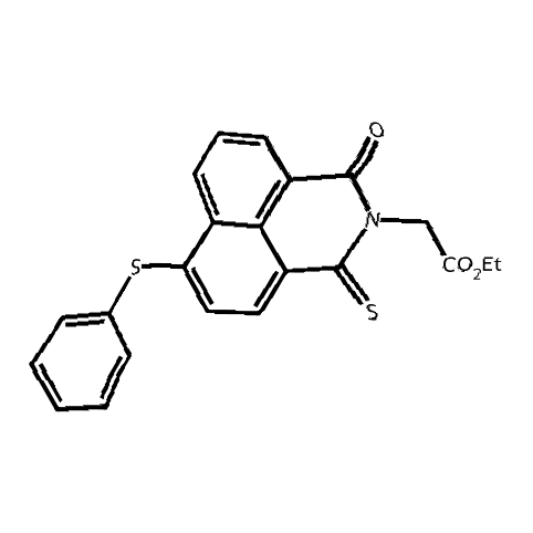 CCOC(=O)CN1C(=O)c2cccc3c(Sc4ccccc4)ccc(c23)C1=S